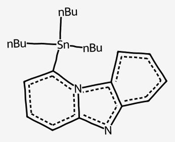 CCC[CH2][Sn]([CH2]CCC)([CH2]CCC)[c]1cccc2nc3ccccc3n12